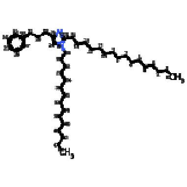 CCCCCCCCCCCCCCCCc1nc(CCCc2ccccc2)cn1CCCCCCCCCCCCCCC